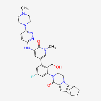 CN1CCN(c2ccc(Nc3cc(-c4cc(F)cc(N5CCn6c(cc7c6C6CCC7C6)C5=O)c4CO)cn(C)c3=O)nn2)CC1